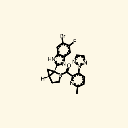 Cc1ccc(-n2nccn2)c(C(=O)N2CC[C@@H]3C[C@@]32c2nc3cc(F)c(Br)cc3[nH]2)n1